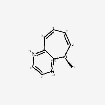 C[C@@H]1C=CC=Cc2nccnc21